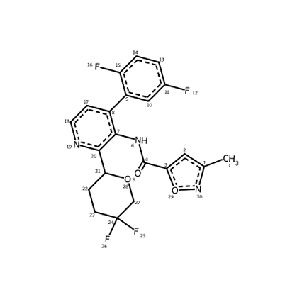 Cc1cc(C(=O)Nc2c(-c3cc(F)ccc3F)ccnc2C2CCC(F)(F)CO2)on1